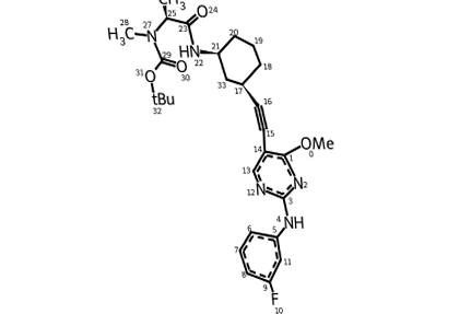 COc1nc(Nc2cccc(F)c2)ncc1C#C[C@@H]1CCC[C@H](NC(=O)[C@H](C)N(C)C(=O)OC(C)(C)C)C1